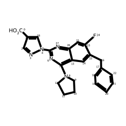 O=C(O)c1cnn(-c2nc(N3CCCC3)c3cc(Cc4ccccc4)c(F)cc3n2)c1